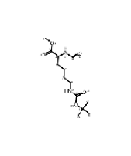 COC(=O)C(CCCCNC(=O)OC(C)(C)C)NC=O